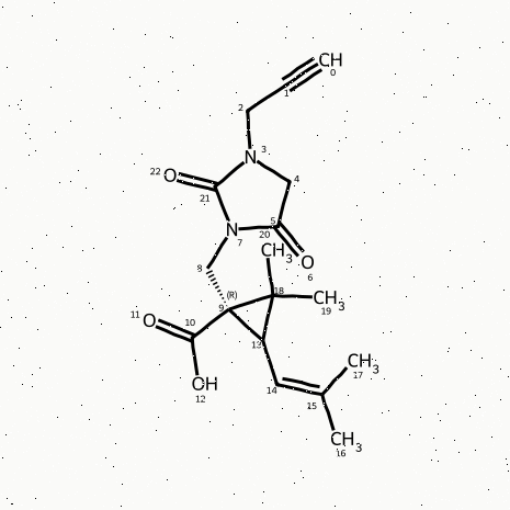 C#CCN1CC(=O)N(C[C@@]2(C(=O)O)C(C=C(C)C)C2(C)C)C1=O